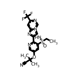 CCS(=N)(=O)c1cc(OC(C)(C)C#N)cnc1-c1cn2cnc(C(F)(F)F)cc2n1